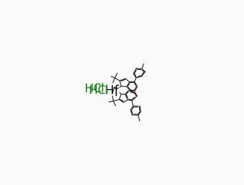 Cc1ccc(-c2cccc3c2C=C(C(C)(C)C)[CH]3[Hf]2([CH]3C(C(C)(C)C)=Cc4c(-c5ccc(C)cc5)cccc43)[CH2][CH2]2)cc1.Cl.Cl